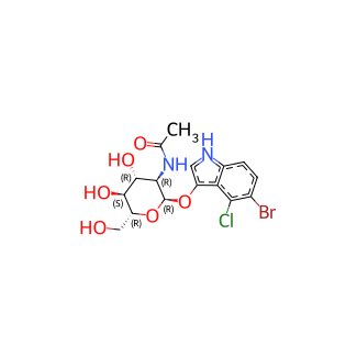 CC(=O)N[C@H]1[C@@H](Oc2c[nH]c3ccc(Br)c(Cl)c23)O[C@H](CO)[C@@H](O)[C@@H]1O